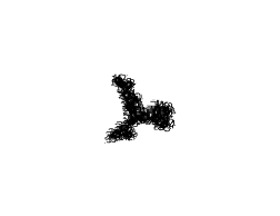 CC1(C)c2cc(-c3cccc4c3sc3ccccc34)ccc2-c2ccc(N(c3ccc(-c4ccc5c6ccccc6c6ccccc6c5c4)cc3)c3ccc(-c4ccc(N(c5ccccc5)c5ccccc5)c5ccccc45)cc3)cc21